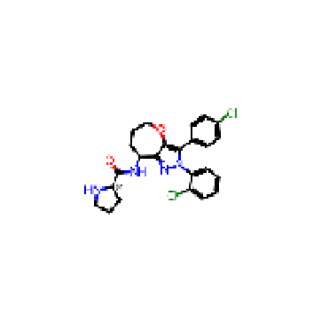 O=C(NC1CCCOc2c1nn(-c1ccccc1Cl)c2-c1ccc(Cl)cc1)[C@H]1CCCN1